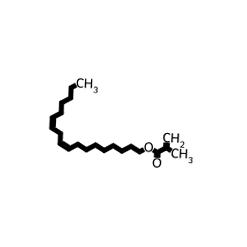 C=C(C)C(=O)OCCCCCCCC/C=C\C/C=C\CCCCC